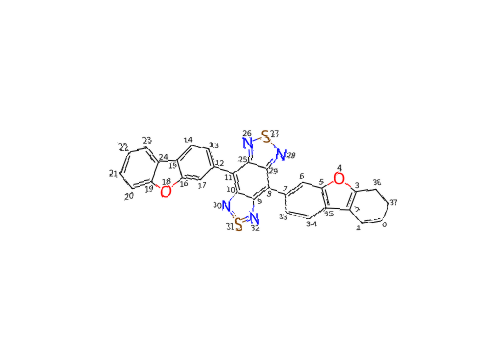 C1=Cc2c(oc3cc(-c4c5c(c(-c6ccc7c(c6)oc6ccccc67)c6nsnc46)N=S=N5)ccc23)CC1